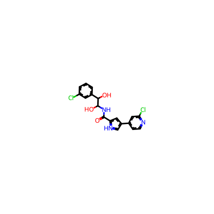 O=C(NC(O)C(O)c1cccc(Cl)c1)c1cc(-c2ccnc(Cl)c2)c[nH]1